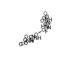 O=C(N[C@@H](C(=O)N1CCC[C@H]1c1ncc(-c2ccc(C#Cc3ccc4nc([C@@H]5CCCN5C(=O)[C@H](NC(=O)OC5CCOCC5)c5ccccc5)[nH]c4c3)cc2F)[nH]1)c1ccccc1)OC1CCCCC1